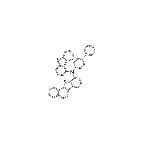 c1ccc(-c2ccc(N(c3cccc4c3sc3c5ccccc5ccc43)c3cccc4sc5ccccc5c34)cc2)cc1